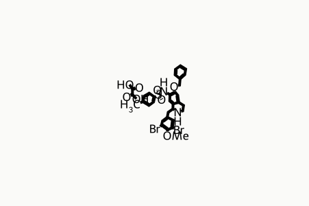 COc1c(Br)cc(CC2NCCc3cc(OCc4ccccc4)c(NS(=O)(=O)c4ccc(C)cc4)cc32)cc1Br.O=C(O)C(=O)O